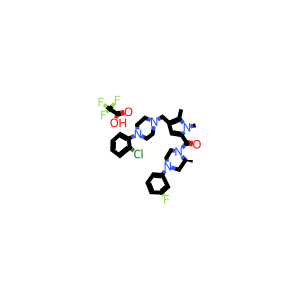 Cc1c(CN2CCN(c3ccccc3Cl)CC2)cc(C(=O)N2CCN(c3cccc(F)c3)C[C@@H]2C)n1C.O=C(O)C(F)(F)F